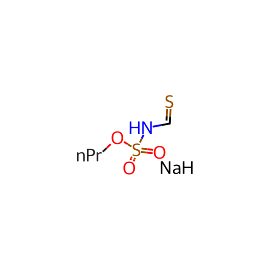 CCCOS(=O)(=O)NC=S.[NaH]